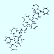 CC(C)(C)C1(C(C)(C)C)c2cc(-c3ccc(-c4c5ccccc5c(-c5ccc6c(c5)c5ccccc5n6-c5ccccc5)c5ccccc45)cc3)c3ccccc3c2-c2c1c1ccccc1c1ccccc21